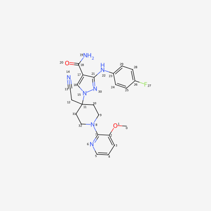 COc1cccnc1N1CCC(CC#N)(n2cc(C(N)=O)c(Nc3ccc(F)cc3)n2)CC1